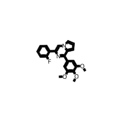 COc1cc(-c2nc(-c3ccccc3F)cn3cccc23)cc(OC)c1OC